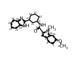 COc1ccc2cc(C(=O)NC3CCCC(c4nc5ccccc5[nH]4)C3)n(C)c2c1